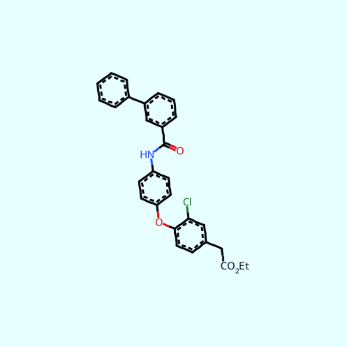 CCOC(=O)Cc1ccc(Oc2ccc(NC(=O)c3cccc(-c4ccccc4)c3)cc2)c(Cl)c1